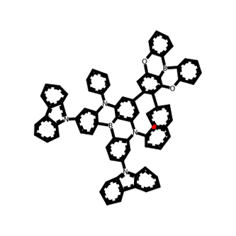 c1ccc(-c2c(-c3cc4c5c(c3)N(c3ccccc3)c3cc(-n6c7ccccc7c7ccccc76)ccc3B5c3ccc(-n5c6ccccc6c6ccccc65)cc3N4c3ccccc3)cc3c4c2Oc2ccccc2B4c2ccccc2O3)cc1